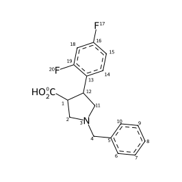 O=C(O)C1CN(Cc2ccccc2)CC1c1ccc(F)cc1F